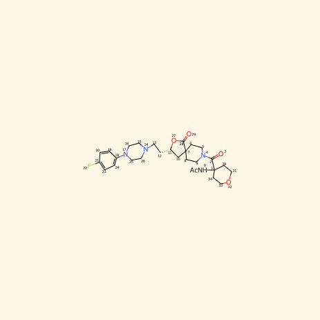 CC(=O)NC1(C(=O)N2CCC3(CC2)C[C@H](CCN2CCN(c4ccc(F)cc4)CC2)OC3=O)CCOCC1